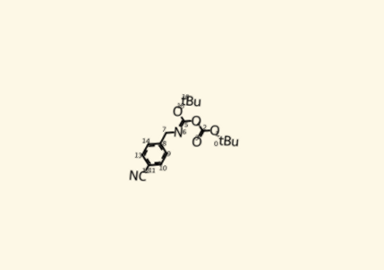 CC(C)(C)OC(=O)O/C(=N/Cc1ccc(C#N)cc1)OC(C)(C)C